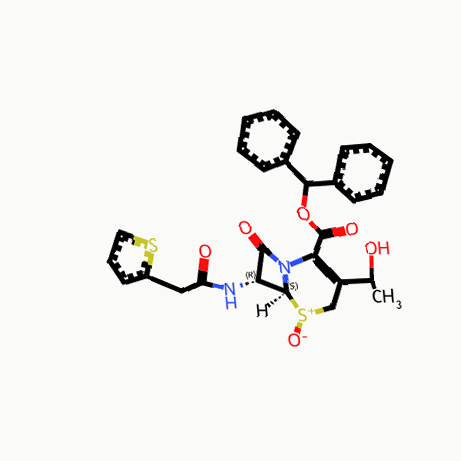 CC(O)C1=C(C(=O)OC(c2ccccc2)c2ccccc2)N2C(=O)[C@@H](NC(=O)Cc3cccs3)[C@@H]2[S+]([O-])C1